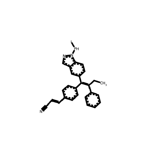 CC/C(=C(/c1ccc(/C=C/C#N)cc1)c1ccc2c(cnn2PI)c1)c1ccccc1